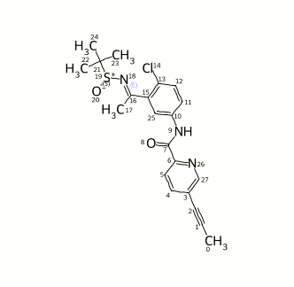 CC#Cc1ccc(C(=O)Nc2ccc(Cl)c(/C(C)=N/[S@+]([O-])C(C)(C)C)c2)nc1